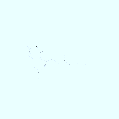 NC(CCC(=O)O)C(=O)NCc1cc([N+](=O)[O-])cc2[nH]c(=O)c(=O)[nH]c12